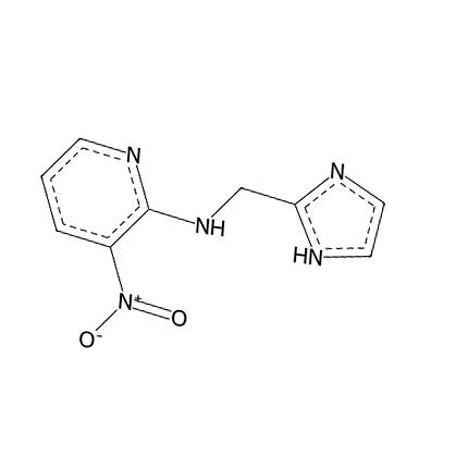 O=[N+]([O-])c1cccnc1NCc1ncc[nH]1